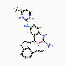 COc1cccc2c1C(C1OC(N)=Nc3ccc(Nc4nccc(C(F)(F)F)n4)cc31)CC2